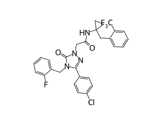 O=C(Cn1nc(-c2ccc(Cl)cc2)n(Cc2ccccc2F)c1=O)NC1(Cc2ccccc2C(F)(F)F)CC1